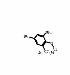 CCOc1c(C(=O)O)cc(C(C)(C)C)cc1C(C)(C)C.[Zn]